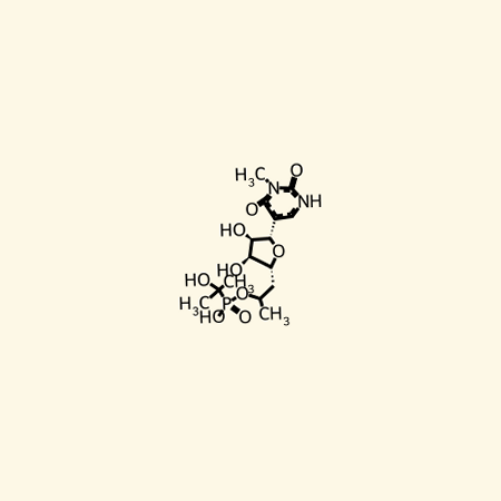 CC(C[C@H]1O[C@@H](c2c[nH]c(=O)n(C)c2=O)[C@H](O)[C@@H]1O)OP(=O)(O)C(C)(C)O